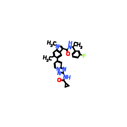 Cc1cc2c(cc1-c1ccn3nc(NC(=O)C4CC4)nc3c1)c(C(=O)N[C@@H](C)c1cccc(F)c1)cn2C